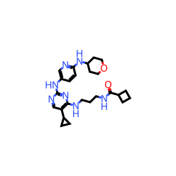 O=C(NCCCNc1nc(Nc2ccc(NC3CCOCC3)nc2)ncc1C1CC1)C1CCC1